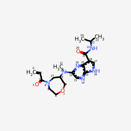 C=CC(=O)N1CCOCC(N(C)c2cnc3[nH]cc(C(=O)NC(C)C)c3n2)C1